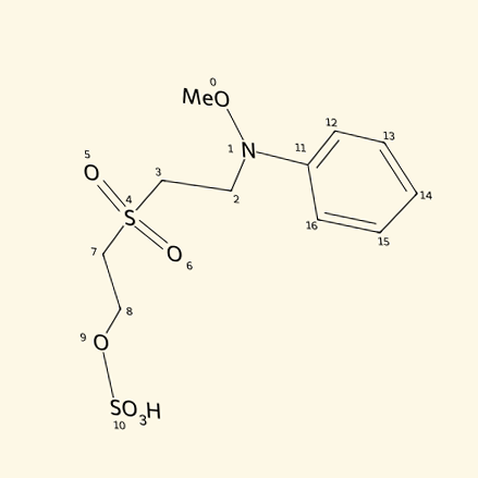 CON(CCS(=O)(=O)CCOS(=O)(=O)O)c1ccccc1